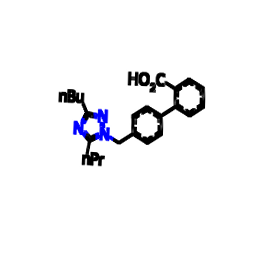 CCCCc1nc(CCC)n(Cc2ccc(-c3ccccc3C(=O)O)cc2)n1